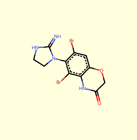 N=C1NCCN1c1c(Br)cc2c(c1Br)NC(=O)CO2